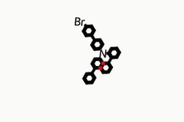 Brc1ccc(-c2ccc(N(c3ccc(-c4ccccc4)cc3)c3ccccc3-c3ccccc3)cc2)cc1